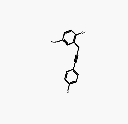 COc1ccc(O)c(CC#Cc2ccc(Cl)cc2)c1